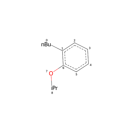 [CH2]CCCc1ccccc1OC(C)C